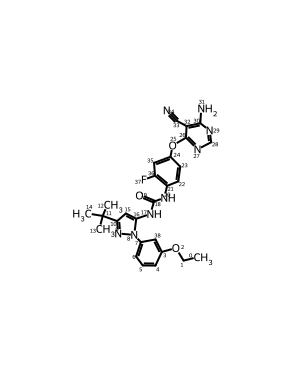 CCOc1cccc(-n2nc(C(C)(C)C)cc2NC(=O)Nc2ccc(Oc3ncnc(N)c3C#N)cc2F)c1